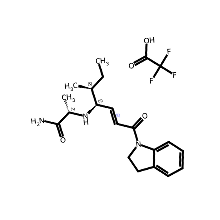 CC[C@H](C)[C@@H](/C=C/C(=O)N1CCc2ccccc21)N[C@@H](C)C(N)=O.O=C(O)C(F)(F)F